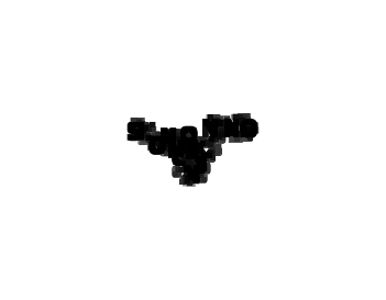 CC1CN(c2ccc(-c3cc(N4CCOCC4)ccn3)cc2NC(=O)c2cnc(OCC[Si](C)(C)C)cc2C(F)(F)F)CCN1C